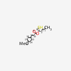 C/C=C/CC(CS)OC(=O)/C=C/c1ccc(OC)cc1